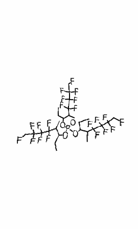 CCC(OP(=O)(OC(CC)C(C)C(F)(F)C(F)(F)C(F)(F)CF)OC(CC)C(C)C(F)(F)C(F)(F)C(F)(F)CF)C(C)C(F)(F)C(F)(F)C(F)(F)CF